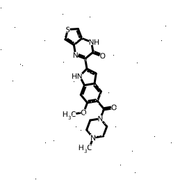 COc1cc2[nH]c(-c3nc4cscc4[nH]c3=O)cc2cc1C(=O)N1CCN(C)CC1